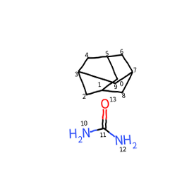 C1C2CC3CC1CC(C2)C3.NC(N)=O